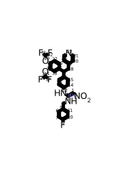 O=[N+]([O-])/C=C(\NCc1ccc(F)cc1)Nc1ccc(C(Cc2ccncc2)c2ccc(OC(F)F)c(OC(F)F)c2)cc1